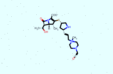 C[C@@H](O)[C@H]1C(=O)N2C(C(=O)[O-])=C(S[C@@H]3CN[C@H](/C=C/C[N+]4(C)CCN(C=C=O)CC4)C3)[C@H](C)[C@H]12